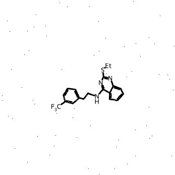 CCSc1nc(NCCc2cccc(C(F)(F)F)c2)c2ccccc2n1